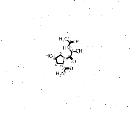 CC(=O)N[C@@H](C)C(=O)N1C[C@@H](O)C[C@H]1C(N)=O